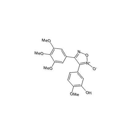 COc1ccc(-c2c(-c3cc(OC)c(OC)c(OC)c3)no[n+]2[O-])cc1O